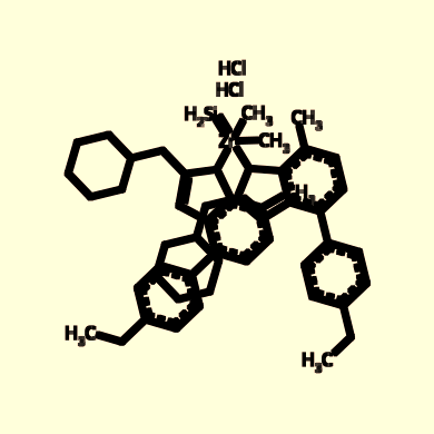 CCc1ccc(-c2ccc(C)c3c2C=C(CC2CCCCC2)[CH]3[Zr]([CH3])([CH3])(=[SiH2])[CH]2C(CC3CCCCC3)=Cc3c(-c4ccc(CC)cc4)ccc(C)c32)cc1.Cl.Cl